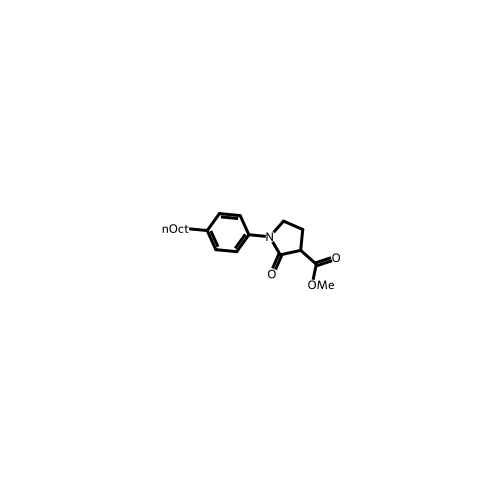 CCCCCCCCc1ccc(N2CCC(C(=O)OC)C2=O)cc1